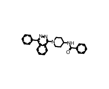 O=C(NC1CCN(c2nnc(-c3ccccc3)c3ccccc23)CC1)c1ccccc1